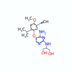 C#Cc1cc(Oc2cnc(NC(CO)CO)nc2N)c(C(C)C)cc1OC